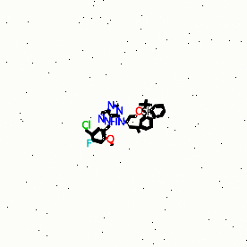 CCC[C@@H](CCO[Si](c1ccccc1)(c1ccccc1)C(C)(C)C)Nc1n[c]nc2cnn(Cc3cc(CCl)c(F)cc3OC)c12